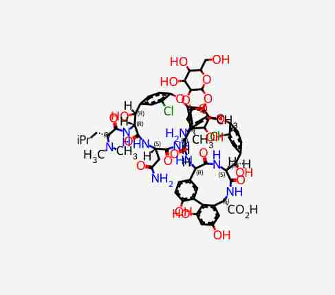 CC(C)C[C@H](C(=O)N[C@H]1C(=O)N[C@@H](CC(N)=O)C(=O)N[C@H]2C(=O)N[C@H]3C(=O)N[C@H](C(=O)N[C@H](C(=O)O)c4cc(O)cc(O)c4-c4cc3ccc4O)[C@H](O)c3ccc(c(Cl)c3)Oc3cc2cc(c3OC2OC(CO)C(O)C(O)C2OC2C[C@](C)(N)C(O)C(C)O2)Oc2ccc(cc2Cl)[C@H]1O)N(C)C